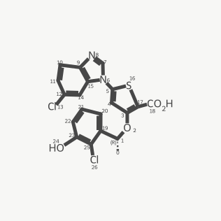 C[C@@H](Oc1cc(-n2cnc3ccc(Cl)cc32)sc1C(=O)O)c1cccc(O)c1Cl